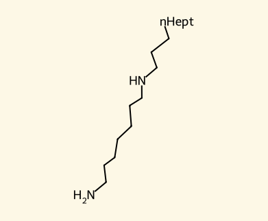 CCCCCCCCCCNCCCCCCCN